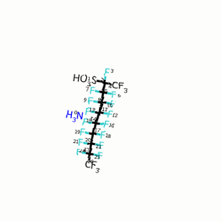 N.O=S(=O)(O)C(F)(C(F)(F)F)C(F)(F)C(F)(F)C(F)(F)C(F)(F)C(F)(F)C(F)(F)C(F)(F)C(F)(F)F